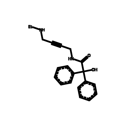 CCNCC#CCNC(=O)C(O)(c1ccccc1)c1ccccc1